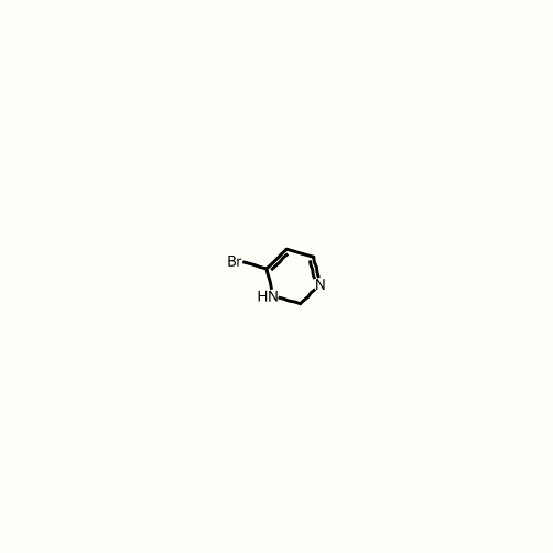 BrC1=CC=NCN1